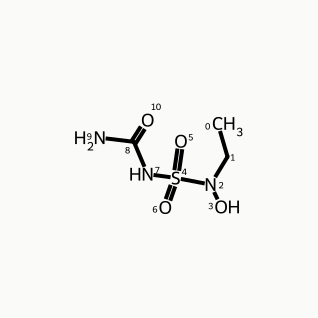 CCN(O)S(=O)(=O)NC(N)=O